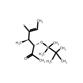 CC=C(I)[C@H](C)[C@H](O[Si](C)(C)C(C)(C)C)C(C)=O